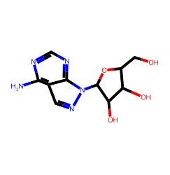 Nc1ncnc2c1cnn2C1OC(CO)C(O)C1O